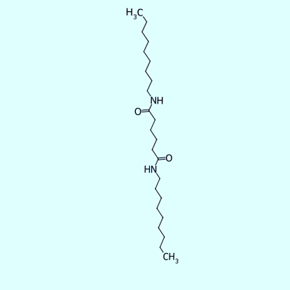 CCCCCCCCCNC(=O)CCCCC(=O)NCCCCCCCCC